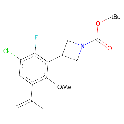 C=C(C)c1cc(Cl)c(F)c(C2CN(C(=O)OC(C)(C)C)C2)c1OC